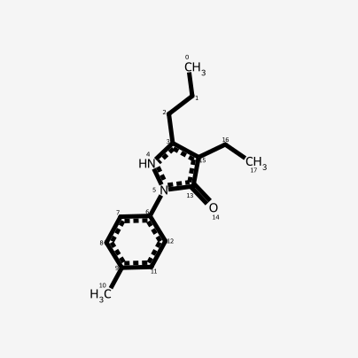 CCCc1[nH]n(-c2ccc(C)cc2)c(=O)c1CC